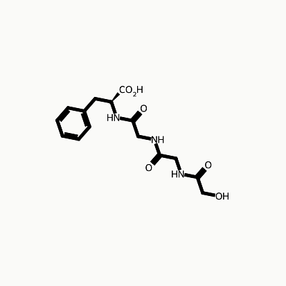 O=C(CO)NCC(=O)NCC(=O)N[C@@H](Cc1ccccc1)C(=O)O